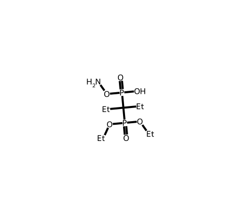 CCOP(=O)(OCC)C(CC)(CC)P(=O)(O)ON